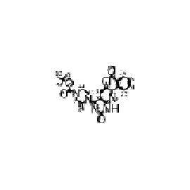 C[C@H]1CN(C(=O)OC(C)(C)C)CCN1c1nc(=O)[nH]c2nc(-c3ccccc3C=O)c(Cl)cc12